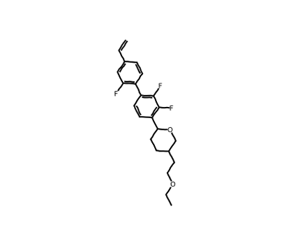 C=Cc1ccc(-c2ccc(C3CCC(CCOCC)CO3)c(F)c2F)c(F)c1